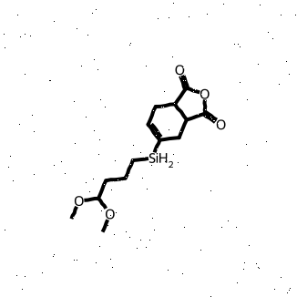 COC(CCC[SiH2]C1=CCC2C(=O)OC(=O)C2C1)OC